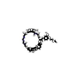 CCOCCO[C@@H]1CC[C@@H](C[C@@H](C)[C@@H]2CC[C@H](C)/C=C(\C)[C@@H](O)[C@@H](OC)C(=O)[C@H](C)C[C@H](C)/C=C/C=C/C=C(\C)CC[C@@H]3CC[C@@H](C)[C@@](O)(O3)C(=O)C(=O)N3CCCC[C@H]3C(=O)O2)C[C@H]1OC